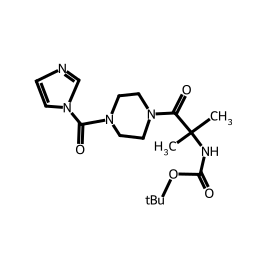 CC(C)(C)OC(=O)NC(C)(C)C(=O)N1CCN(C(=O)n2ccnc2)CC1